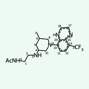 CC(=O)NCCNC1CC(C)CN(c2ccc(C(F)(F)F)c3nccnc23)C1